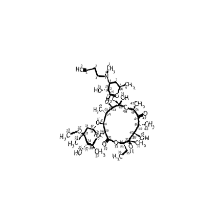 C#CCCN(C)[C@H]1C[C@@H](C)O[C@@H](O[C@@H]2[C@@H](C)[C@H](O[C@H]3C[C@@](C)(OC)[C@@H](O)[C@H](C)O3)[C@@H](C)C(=O)O[C@H](CC)[C@@](C)(O)[C@H](O)[C@@H](C)C(=O)[C@H](C)C[C@@]2(C)O)[C@@H]1O